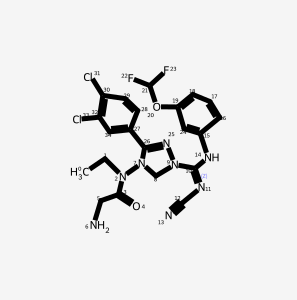 CCN(C(=O)CN)N1CN(/C(=N\C#N)Nc2cccc(OC(F)F)c2)N=C1c1ccc(Cl)c(Cl)c1